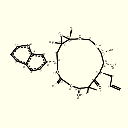 C=CC[C@H]1C(=O)C(C)(C)[C@@H](O)CC(=O)O[C@H](c2ccc3cccnc3c2)C[C@@H]2O[C@]2(C)CCC[C@H](C)[C@@H]1O